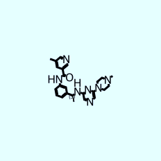 Cc1cncc(C(=O)Nc2cccc([C@H](C)Nc3cncc(N4CCN(C)CC4)n3)c2)c1